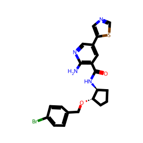 Nc1ncc(-c2cncs2)cc1C(=O)N[C@H]1CCC[C@@H]1OCc1ccc(Br)cc1